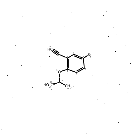 C#Cc1cc(Br)ccc1O[C@@H](C)C(=O)O